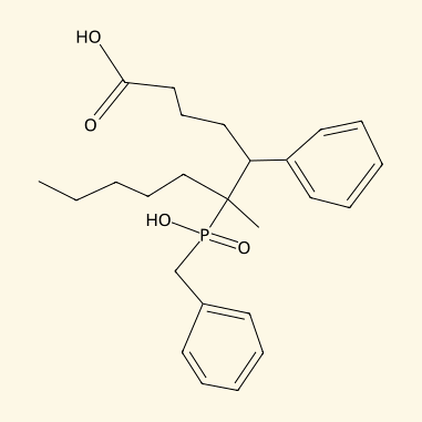 CCCCCC(C)(C(CCCC(=O)O)c1ccccc1)P(=O)(O)Cc1ccccc1